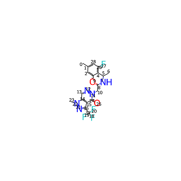 Cc1ccc(C(C)NC(=O)Cn2ncc3c(c(C(F)(F)F)nn3C)c2=O)c(F)c1